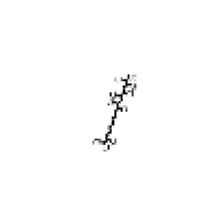 CCC(Cl)C(Cl)CCCCCCCC(Cl)C(Cl)CC(Cl)C(Cl)CC(Cl)C(Cl)CC